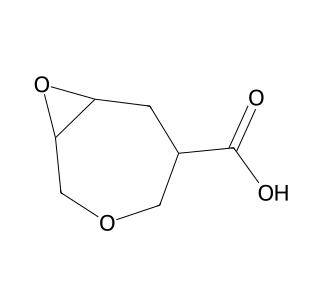 O=C(O)C1COCC2OC2C1